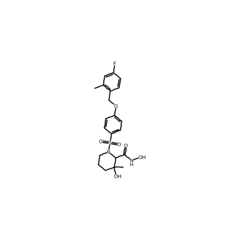 Cc1cc(F)ccc1COc1ccc(S(=O)(=O)N2CCCC(C)(O)C2C(=O)NO)cc1